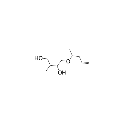 C=CCC(C)OCC(O)C(C)CO